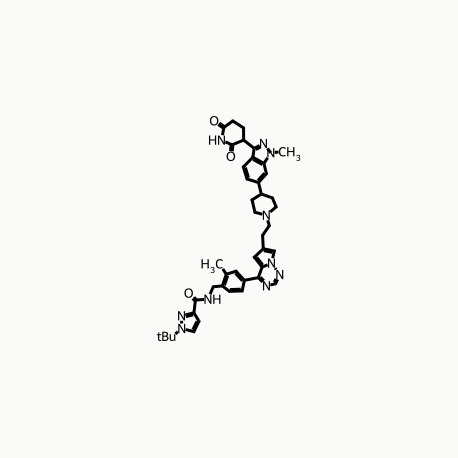 Cc1cc(-c2ncnn3cc(CCN4CCC(c5ccc6c(C7CCC(=O)NC7=O)nn(C)c6c5)CC4)cc23)ccc1CNC(=O)c1ccn(C(C)(C)C)n1